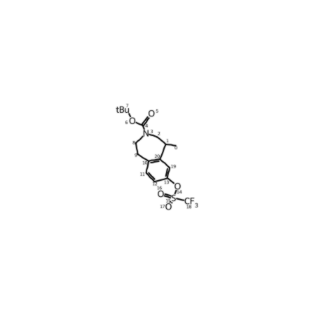 CC1CN(C(=O)OC(C)(C)C)CCc2ccc(OS(=O)(=O)C(F)(F)F)cc21